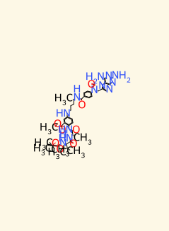 COC(=O)c1cc(NCCC[C@@H](C)NC(=O)c2ccc(N(C=O)Cc3cnc4nc(N)nc(N)c4n3)cc2)ccc1NC(=O)[C@H](C)NC(=O)[C@@H](NC(=O)OC(C)(C)C)C(C)C